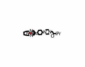 CCC(C)N1CC2CCC(C1)N2c1ncc([C@H]2CC[C@H](N3CCN(CC(=O)C(C)C)CC3)CC2)cn1